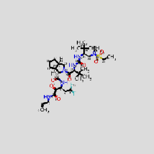 C=CCNC(=O)C(=O)[C@H](CC(F)F)NC(=O)[C@@H]1[C@H]2CCC[C@H]2CN1C(=O)[C@@H](NC(=O)N[C@H](CN(C)S(=O)(=O)CC)C(C)(C)C)C(C)(C)C